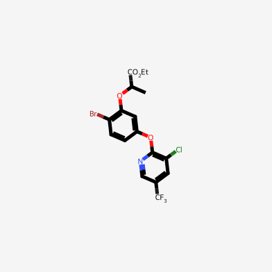 CCOC(=O)C(C)Oc1cc(Oc2ncc(C(F)(F)F)cc2Cl)ccc1Br